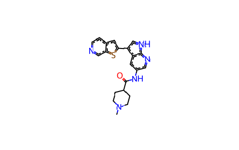 CN1CCC(C(=O)Nc2cnc3[nH]cc(-c4cc5ccncc5s4)c3c2)CC1